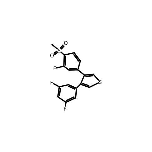 CS(=O)(=O)c1ccc(-c2cscc2-c2cc(F)cc(F)c2)cc1F